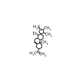 CCC1C2CC=C3CC(N(C)C)CCC3(C)C2CCC12CN(C)C(C)C2C